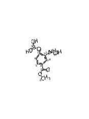 COC(=O)c1ccc(OB(O)O)c(N)c1.Cl